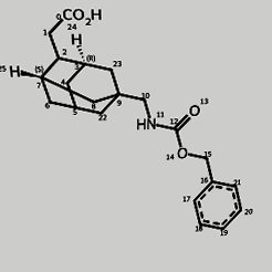 O=C(O)CC1[C@@H]2CC3C[C@H]1CC(CNC(=O)OCc1ccccc1)(C3)C2